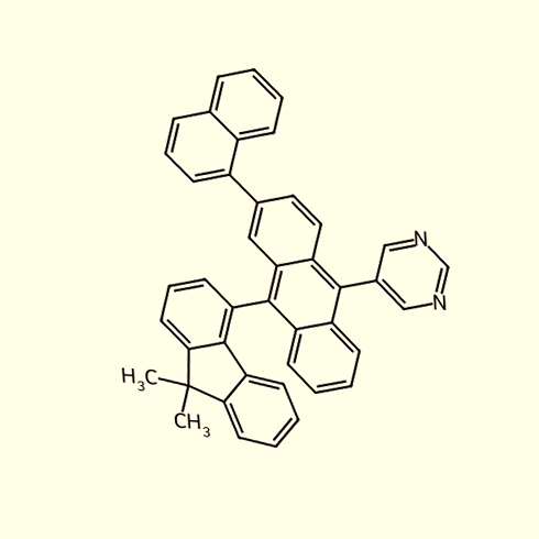 CC1(C)c2ccccc2-c2c(-c3c4ccccc4c(-c4cncnc4)c4ccc(-c5cccc6ccccc56)cc34)cccc21